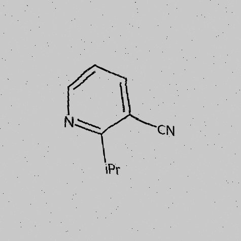 CC(C)c1ncccc1C#N